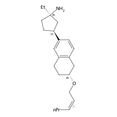 CCC/C=C\CO[C@@H]1CCc2cc([C@H]3CC[C@](N)(CC)C3)ccc2C1